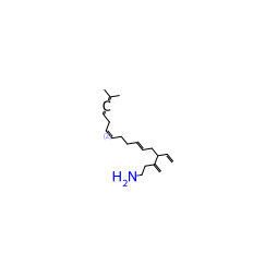 C=CC(CC=CCC/C=C\CC=C=C(C)C)C(=C)CCN